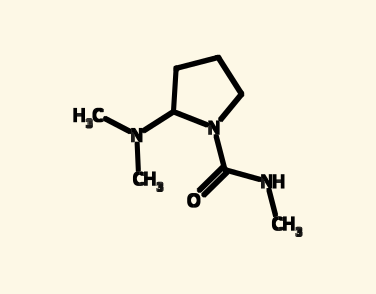 CNC(=O)N1CCCC1N(C)C